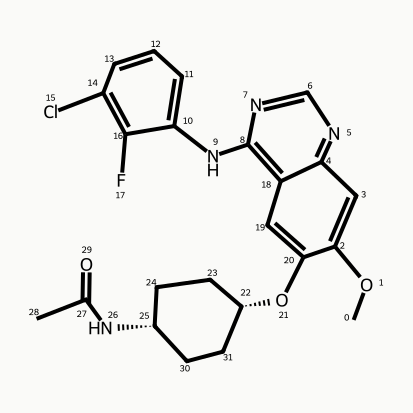 COc1cc2ncnc(Nc3cccc(Cl)c3F)c2cc1O[C@H]1CC[C@@H](NC(C)=O)CC1